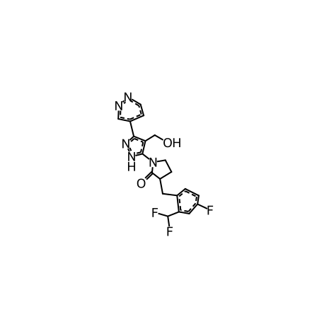 O=C1C(Cc2ccc(F)cc2C(F)F)CCN1c1[nH]nc(-c2ccnnc2)c1CO